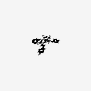 O=C1[C@H](Cc2ccccc2)N2C(=O)CN(CF)N(C(=O)NCc3ccc(F)cc3)[C@H]2CN1CCc1ccc(F)cc1